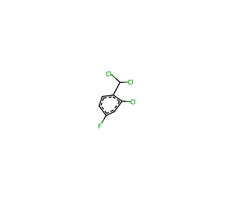 Fc1ccc(C(Cl)Cl)c(Cl)c1